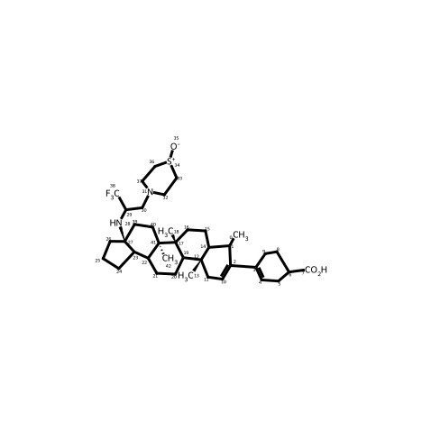 CC1C(C2=CCC(C(=O)O)CC2)=CC[C@@]2(C)C1CC[C@]1(C)C2CCC2C3CCC[C@]3(NC(CN3CC[S+]([O-])CC3)C(F)(F)F)CC[C@]21C